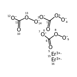 O=C([O-])O[O-].O=C([O-])O[O-].O=C([O-])O[O-].[Er+3].[Er+3]